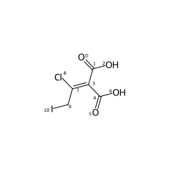 O=C(O)C(C(=O)O)=C(Cl)CI